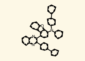 c1ccc(-c2ccc(-c3nc4ccccc4nc3-c3ccc(N(c4ccccc4)c4ccc(-c5ccccc5)cc4)c4oc5ccccc5c34)cc2)cc1